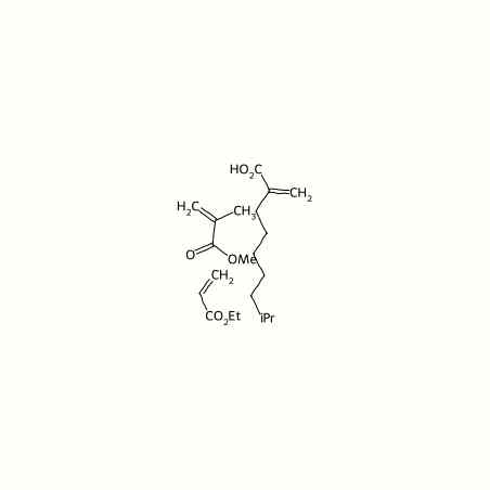 C=C(C)C(=O)OC.C=C(CCCCCC(C)C)C(=O)O.C=CC(=O)OCC